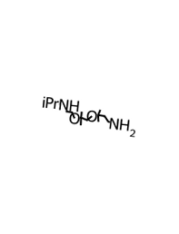 CC(C)NCCOC(C)(C)COC(C)(C)CCN